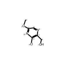 COc1cnc(CO)c(Cl)n1